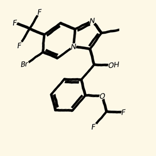 Cc1nc2cc(C(F)(F)F)c(Br)cn2c1C(O)c1ccccc1OC(F)F